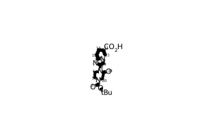 CC(C)(C)OC(=O)N1CCN(c2cn3cc(C(=O)O)ccc3n2)C(=O)C1